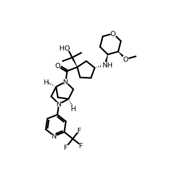 CO[C@@H]1COCC[C@@H]1N[C@@H]1CC[C@@](C(=O)N2C[C@@H]3C[C@H]2CN3c2ccnc(C(F)(F)F)c2)(C(C)(C)O)C1